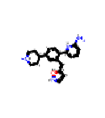 Nc1cccc(-c2ccc(C3CCNCC3)cc2Cc2ccno2)n1